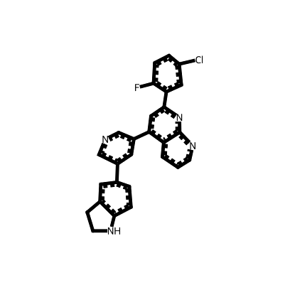 Fc1ccc(Cl)cc1-c1cc(-c2cncc(-c3ccc4c(c3)CCN4)c2)c2cccnc2n1